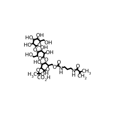 C=C(C)C(=O)NCCCNC(=O)OCC1O[C@@H]2O[C@@](C)(C(=O)O)OC2[C@@H](O)[C@@H]1O[C@@H]1OC(CO)[C@H](O[C@H]2OC(CO)[C@H](O)[C@H](O)C2O)[C@H](O)C1O